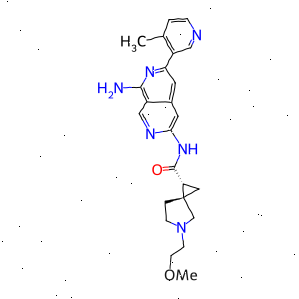 COCCN1CC[C@@]2(C[C@H]2C(=O)Nc2cc3cc(-c4cnccc4C)nc(N)c3cn2)C1